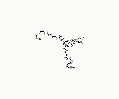 CCCC/C=C\C/C=C\CCCCCCCC(=O)OC[C@H](COP(=O)(O)OC[C@H](N)C(=O)O)OC(=O)CCCC/C=C\C/C=C\C/C=C\CCCCC